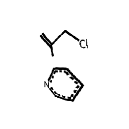 C=C(C)CCl.c1ccncc1